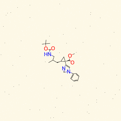 COC(=O)[C@]1(c2cn(-c3ccccc3)cn2)C[C@@H]1CC(C)CNC(=O)OC(C)(C)C